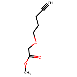 C#CCCCOCC(=O)OC